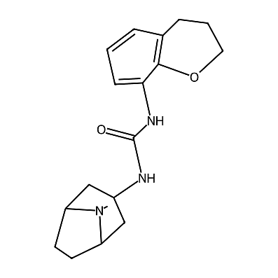 CN1C2CCC1CC(NC(=O)Nc1cccc3c1OCCC3)C2